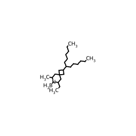 BN1C(C)CC2(CC(C(CCCCCC)CCCCCC)C2)CC1CC